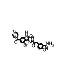 CN1CCN(C(=O)c2cc(Br)c3c(c2)NC(=O)C3=NNC(=O)Cc2ccc3onc(N)c3c2)CC1